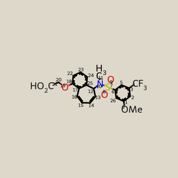 COc1cc(C(F)(F)F)cc(S(=O)(=O)N(C)C2C=CC=Cc3c(OCC(=O)O)cccc32)c1